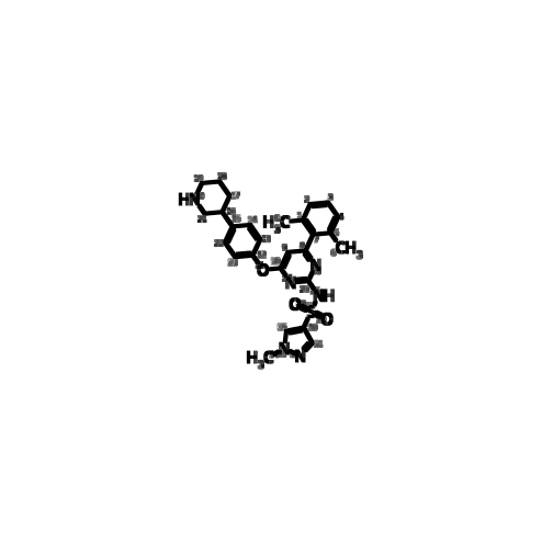 Cc1cccc(C)c1-c1cc(Oc2ccc(C3CCCNC3)cc2)nc(NS(=O)(=O)c2cnn(C)c2)n1